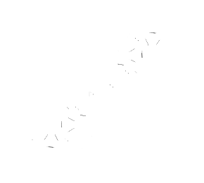 Cc1c2c(cc3c4cc(O)ccc4n(C)c13)C(=O)N(CCNCCNCCN1C(=O)c3cc4c5cc(O)ccc5n(C)c4c(C)c3C1=O)C2=O